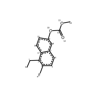 CCc1c(F)ccc2cc(OC(=O)OC)ccc12